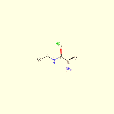 CC(C)[C@@H](N)C(=O)NCC(F)(F)F.Cl